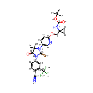 CC(C)(C)OC(=O)NC1(COc2ccc(N3C(=S)N(c4ccc(C#N)c(C(F)(F)F)c4)C(=O)C3(C)C)cn2)CC1